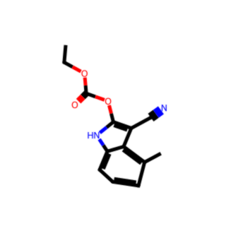 CCOC(=O)Oc1[nH]c2cccc(C)c2c1C#N